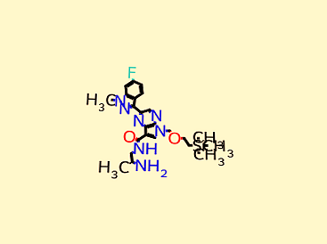 C[C@@H](N)CNC(=O)c1cn(COCC[Si](C)(C)C)c2ncc(-c3nn(C)c4cc(F)ccc34)nc12